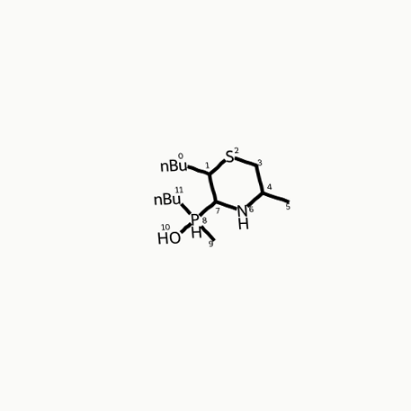 CCCCC1SCC(C)NC1[PH](C)(O)CCCC